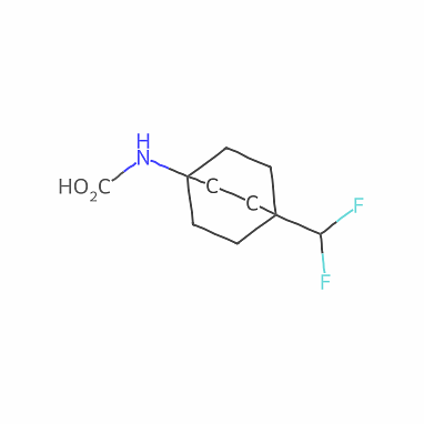 O=C(O)NC12CCC(C(F)F)(CC1)CC2